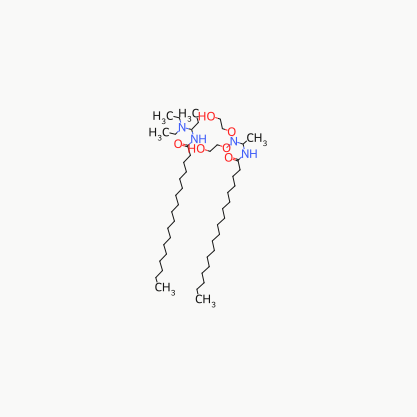 CCCCCCCCCCCCCCCCCC(=O)NC(C)N(OCCO)OCCO.CCCCCCCCCCCCCCCCCC(=O)NC(CC)N(CC)CC